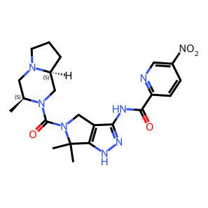 C[C@H]1CN2CCC[C@H]2CN1C(=O)N1Cc2c(NC(=O)c3ccc([N+](=O)[O-])cn3)n[nH]c2C1(C)C